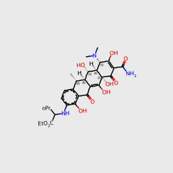 CCCC(Nc1ccc2c(c1O)C(=O)C1=C(O)[C@]3(O)C(=O)C(C(N)=O)=C(O)[C@@H](N(C)C)[C@@H]3[C@@H](O)[C@@H]1[C@H]2C)C(=O)OCC